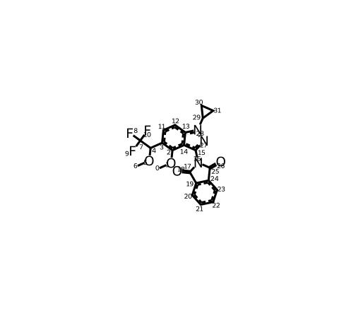 COc1c(C(OC)C(F)(F)F)ccc2c1c(N1C(=O)c3ccccc3C1=O)nn2C1CC1